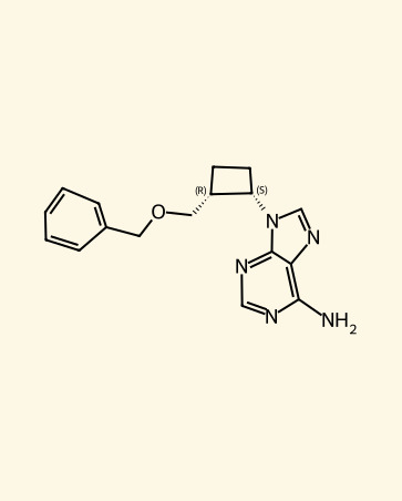 Nc1ncnc2c1ncn2[C@H]1CC[C@H]1COCc1ccccc1